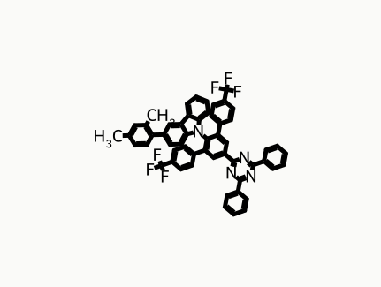 Cc1ccc(-c2ccc3c(c2)c2ccccc2n3-c2c(-c3ccc(C(F)(F)F)cc3)cc(-c3nc(-c4ccccc4)nc(-c4ccccc4)n3)cc2-c2ccc(C(F)(F)F)cc2)c(C)c1